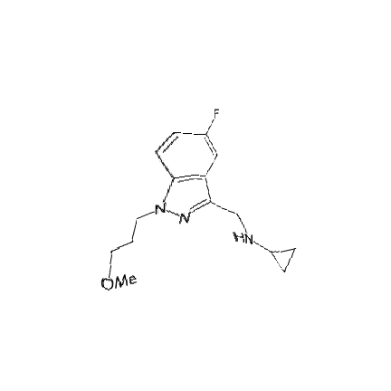 COCCCn1nc(CNC2CC2)c2cc(F)ccc21